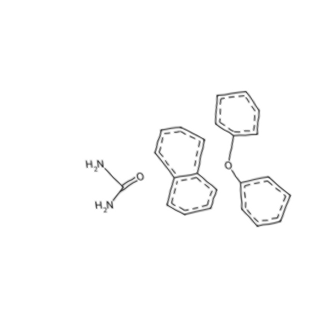 NC(N)=O.c1ccc(Oc2ccccc2)cc1.c1ccc2ccccc2c1